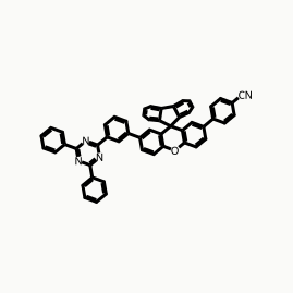 N#Cc1ccc(-c2ccc3c(c2)C2(c4cc(-c5cccc(-c6nc(-c7ccccc7)nc(-c7ccccc7)n6)c5)ccc4O3)c3ccccc3-c3ccccc32)cc1